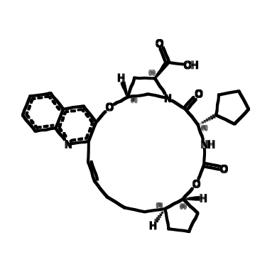 O=C1N[C@@H](C2CCCC2)C(=O)N2C[C@@H](C[C@H]2C(=O)O)Oc2cc3ccccc3nc2C=CCCC[C@@H]2CCC[C@H]2O1